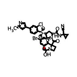 Cn1cc(-c2ccc(S(=O)(=O)[C@@H]3C[C@@H](C(=O)NC4(C#N)CC4)N(C(=O)C4(c5ncc(Br)cc5F)CCN4C(=O)O)C3)c(Cl)c2)cn1